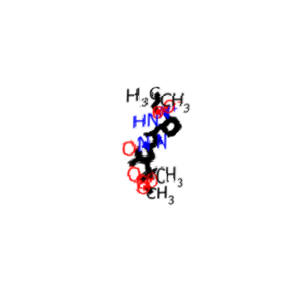 CC[C@@]1(OC(C)=O)C(=O)OCc2c1cc1n(c2=O)Cc2c-1nc1cccc([N+](=O)[O-])c1c2NCCC(C)C